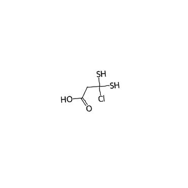 O=C(O)CC(S)(S)Cl